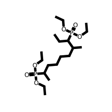 CCOP(=O)(OCC)C(C)CCCCC(C)C(CC)P(=O)(OCC)OCC